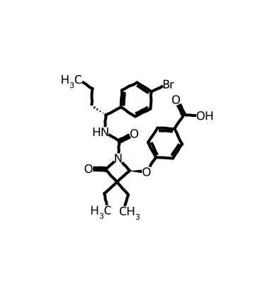 CCC[C@@H](NC(=O)N1C(=O)C(CC)(CC)[C@@H]1Oc1ccc(C(=O)O)cc1)c1ccc(Br)cc1